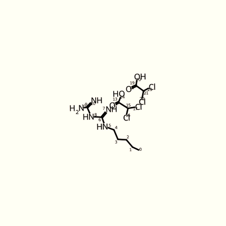 CCCCCNC(=N)NC(=N)N.O=C(O)C(Cl)Cl.O=C(O)C(Cl)Cl